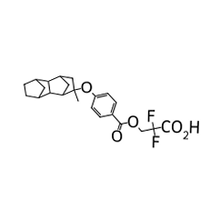 CC1(Oc2ccc(C(=O)OCC(F)(F)C(=O)O)cc2)CC2CC1C1C3CCC(C3)C21